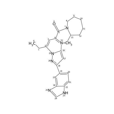 CCc1cc(C(=O)N2CCCCCC2C)nc2cc(-c3ccc4[nH]cnc4c3)nn12